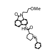 COCCCN1C(=O)c2cccc3c(NC(=O)C4CCCN(Sc5ccccc5)C4)ccc1c23